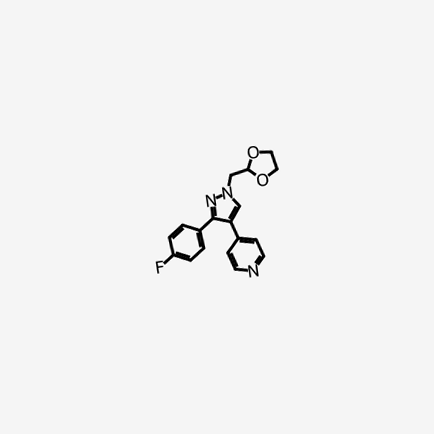 Fc1ccc(-c2nn(CC3OCCO3)cc2-c2ccncc2)cc1